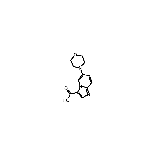 O=C(O)c1cnc2ccc(N3CCOCC3)cn12